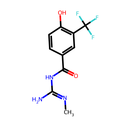 CN=C(N)NC(=O)c1ccc(O)c(C(F)(F)F)c1